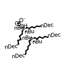 CCCCCCCCCCCCCCCC[P+](CCCC)(CCCC)CCCCCCCCCCCCCCCC.CCCCCCCCCCCCCCCC[P+](CCCC)(CCCC)CCCCCCCCCCCCCCCC.[O-]B([O-])O